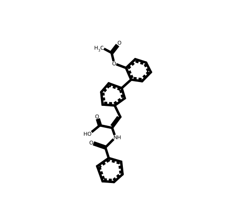 CC(=O)Oc1ccccc1-c1cccc(/C=C(/NC(=O)c2ccccc2)C(=O)O)c1